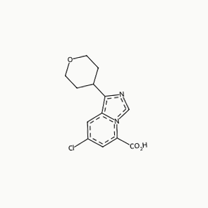 O=C(O)c1cc(Cl)cc2c(C3CCOCC3)ncn12